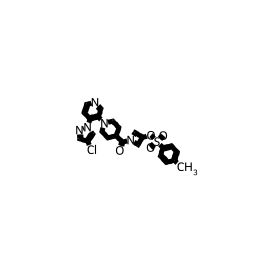 Cc1ccc(S(=O)(=O)OC2CN(C(=O)C3CCN(c4cnccc4-n4cc(Cl)cn4)CC3)C2)cc1